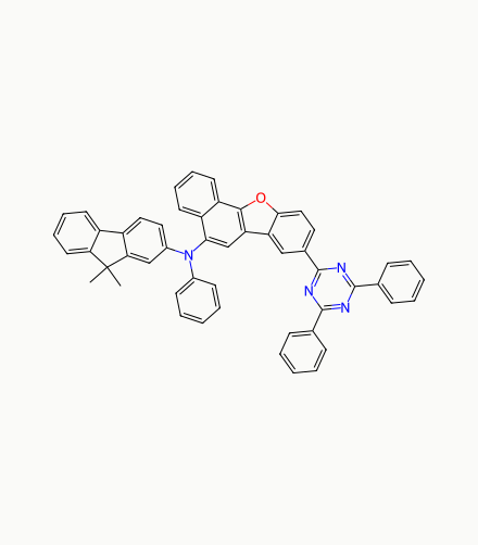 CC1(C)c2ccccc2-c2ccc(N(c3ccccc3)c3cc4c5cc(-c6nc(-c7ccccc7)nc(-c7ccccc7)n6)ccc5oc4c4ccccc34)cc21